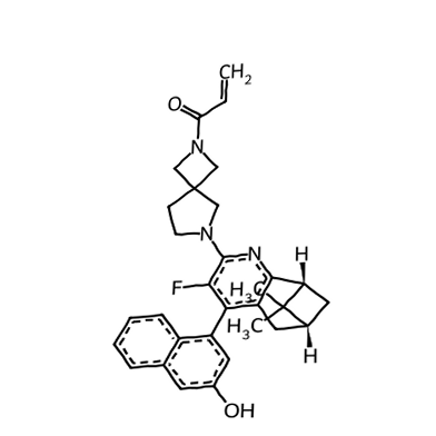 C=CC(=O)N1CC2(CCN(c3nc4c(c(-c5cc(O)cc6ccccc56)c3F)C[C@H]3C[C@@H]4C3(C)C)C2)C1